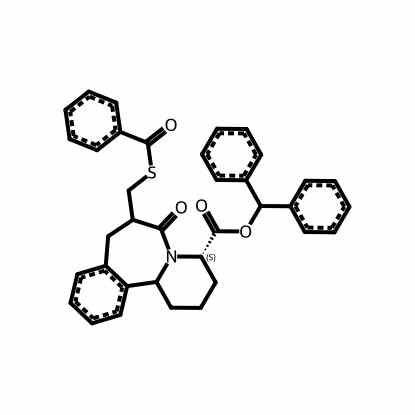 O=C(SCC1Cc2ccccc2C2CCC[C@@H](C(=O)OC(c3ccccc3)c3ccccc3)N2C1=O)c1ccccc1